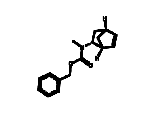 CN(C(=O)OCc1ccccc1)[C@@H]1C[C@@H]2C=C[C@H]1C2